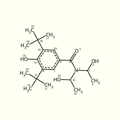 CC(O)N(C(=O)c1cc(C(C)(C)C)c(O)c(C(C)(C)C)c1)C(C)O